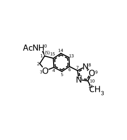 CC(=O)N[C@@H]1COc2cc(-c3noc(C)n3)ccc21